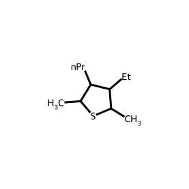 CCCC1C(C)SC(C)C1CC